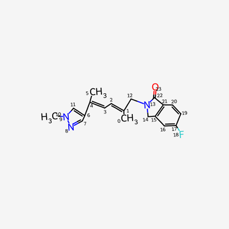 C/C(=C\C=C(/C)c1cnn(C)c1)CN1Cc2cc(F)ccc2C1=O